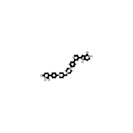 O=C1CCC(c2ccc(N3CCC(CN4CCN(c5ccc(-c6cc(-c7cc8c([nH]7)CCNC8=O)ccn6)cc5)CC4)CC3)cc2)C(=O)N1